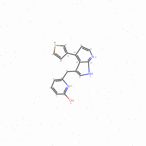 Oc1cccc(Cc2c[nH]c3nccc(-c4ccsc4)c23)n1